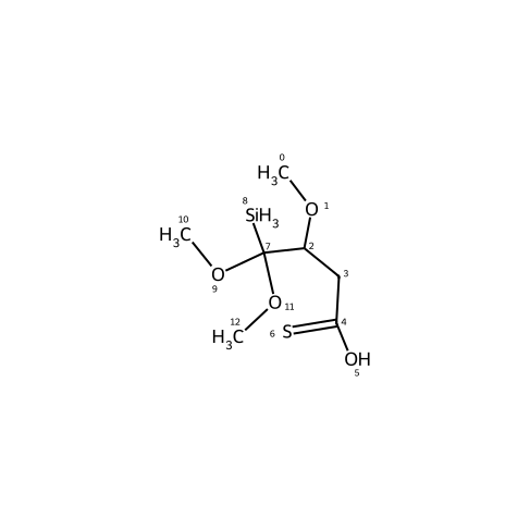 COC(CC(O)=S)C([SiH3])(OC)OC